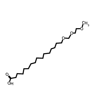 COCCOCOCCCCCCCCCCCCCCCC(=O)O